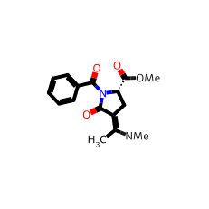 CN/C(C)=C1\C[C@@H](C(=O)OC)N(C(=O)c2ccccc2)C1=O